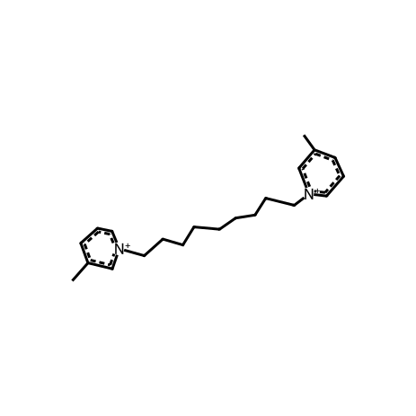 Cc1ccc[n+](CCCCCCCCC[n+]2cccc(C)c2)c1